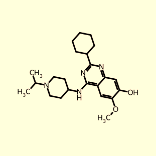 COc1cc2c(NC3CCN(C(C)C)CC3)nc(C3CCCCC3)nc2cc1O